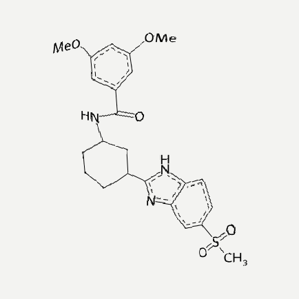 COc1cc(OC)cc(C(=O)NC2CCCC(c3nc4cc(S(C)(=O)=O)ccc4[nH]3)C2)c1